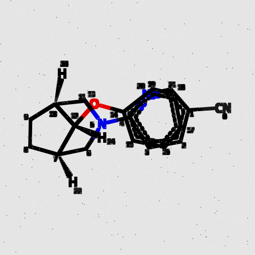 N#Cc1ccc(N2C[C@H]3CC[C@@H](C2)[C@@H]3Oc2ccccc2)nc1